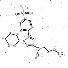 CS(=O)(=O)c1ccc(-c2cc(N(C=O)CCO[N+](=O)[O-])nn2C2CCCCC2)cc1